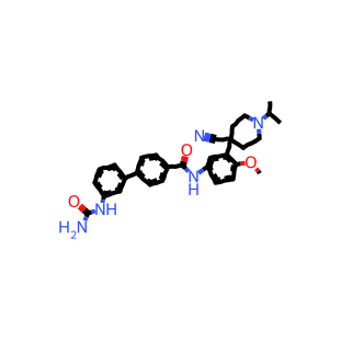 COc1ccc(NC(=O)c2ccc(-c3cccc(NC(N)=O)c3)cc2)cc1C1(C#N)CCN(C(C)C)CC1